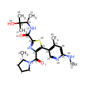 C[C@H]1CCCN1C(=O)c1nc(C(=O)N[C@H](C)C(C)(C)O)sc1-c1cnc(NC(C)(C)C)cc1C(F)(F)F